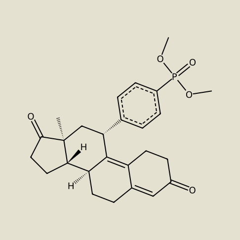 COP(=O)(OC)c1ccc([C@H]2C[C@]3(C)C(=O)CC[C@H]3[C@@H]3CCC4=CC(=O)CCC4=C32)cc1